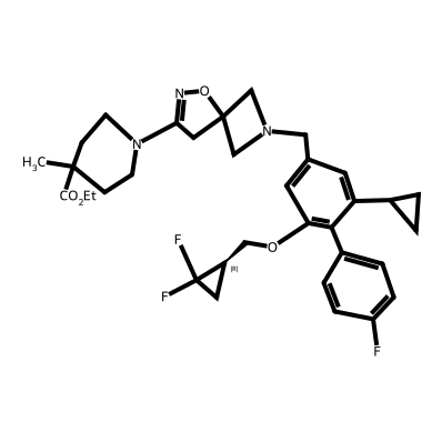 CCOC(=O)C1(C)CCN(C2=NOC3(C2)CN(Cc2cc(OC[C@H]4CC4(F)F)c(-c4ccc(F)cc4)c(C4CC4)c2)C3)CC1